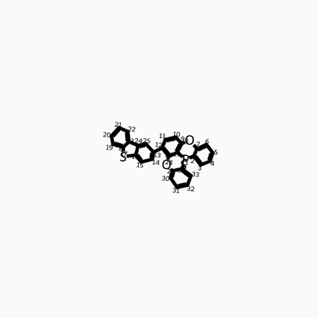 S=P12c3ccccc3Oc3ccc(-c4ccc5sc6ccccc6c5c4)c(c31)Oc1ccccc12